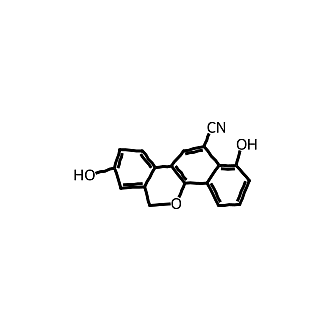 N#Cc1cc2c(c3cccc(O)c13)OCc1cc(O)ccc1-2